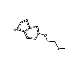 CSCCOc1ccc2[nH]ccc2c1